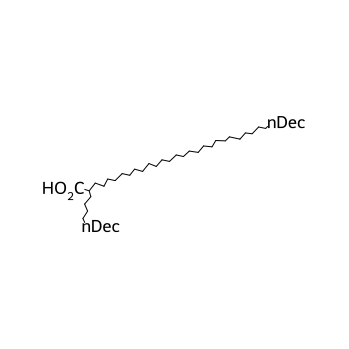 CCCCCCCCCCCCCCCCCCCCCCCCCCCCCCCCCCCCC(CCCCCCCCCCCCCC)C(=O)O